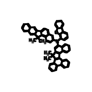 CC1(C)c2cc3ccccc3cc2-c2ccc3cc(N(c4cc5c(c6ccccc46)-c4c(c6ccccc6c6ccccc46)C5(C)C)c4cccc5c4oc4ccccc45)ccc3c21